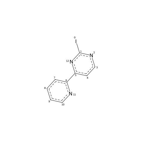 Ic1nccc(-c2ccccn2)n1